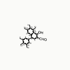 Cc1cc(-c2cc(C=O)c(O)c3c(C)c(C)c(C)cc23)cc(C)c1C